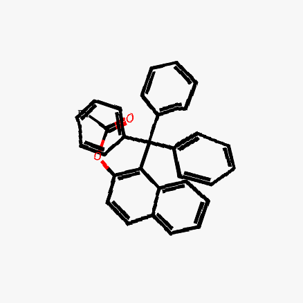 CCC(=O)Oc1ccc2ccccc2c1C(c1ccccc1)(c1ccccc1)c1ccccc1